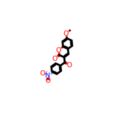 COc1ccc2cc(C(=O)c3ccc([N+](=O)[O-])cc3)c(=O)oc2c1